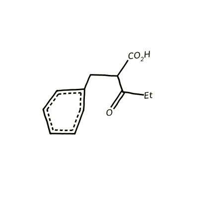 CCC(=O)C(Cc1ccccc1)C(=O)O